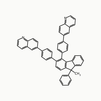 CC1(c2ccccc2)c2ccccc2-c2c1ccc(-c1ccc(-c3ccc4ncccc4c3)cc1)c2-c1ccc(-c2ccc3ncccc3c2)cc1